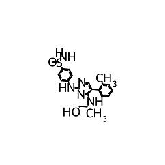 Cc1ccccc1-c1cnc(Nc2ccc([SH](=N)=O)cc2)nc1N[C@H](C)CO